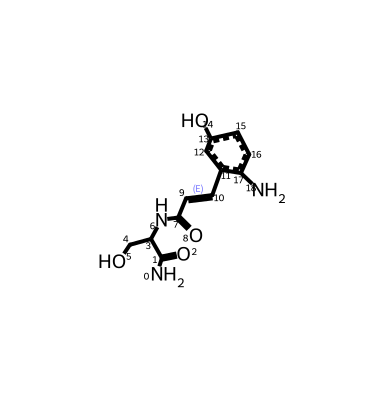 NC(=O)C(CO)NC(=O)/C=C/c1cc(O)ccc1N